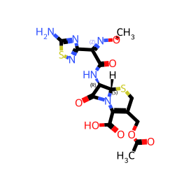 CO/N=C(\C(=O)N[C@@H]1C(=O)N2C(C(=O)O)=C(COC(C)=O)CS[C@@H]12)c1nsc(N)n1